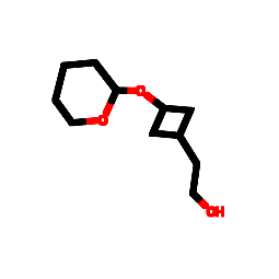 OCCC1CC(OC2CCCCO2)C1